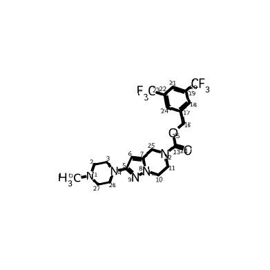 CN1CCN(c2cc3n(n2)CCN(C(=O)OCc2cc(C(F)(F)F)cc(C(F)(F)F)c2)C3)CC1